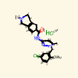 CCN1CCc2cc(C(=O)Nc3cc(C)n(Cc4cc(Cl)ccc4OCC(C)C)n3)ccc2C1.Cl